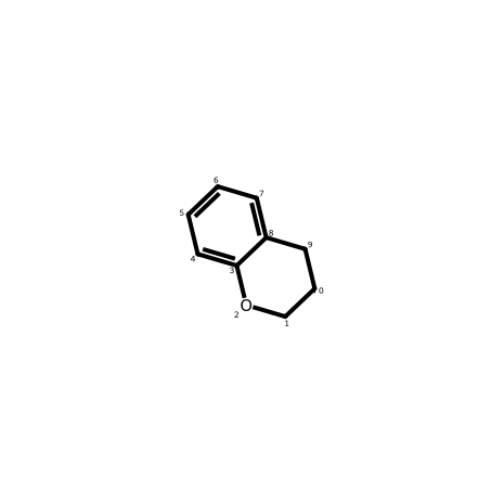 [CH]1COc2ccccc2C1